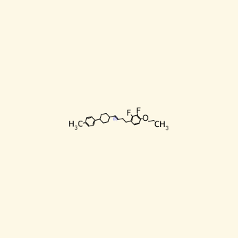 CCCOc1ccc(CC/C=C/C2CCC(c3ccc(C)cc3)CC2)c(F)c1F